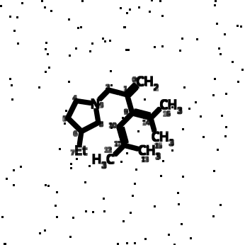 C=C(CN1CCC(CC)C1)C(C=C(C)C)=C(C)C